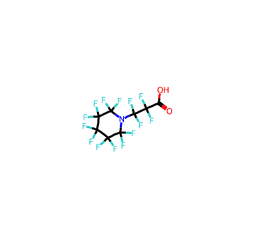 O=C(O)C(F)(F)C(F)(F)N1C(F)(F)C(F)(F)C(F)(F)C(F)(F)C1(F)F